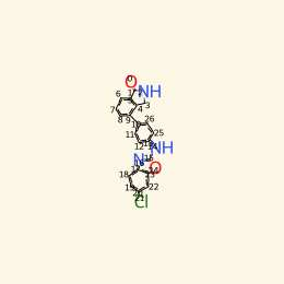 O=C1NCc2c1cccc2-c1ccc(Nc2nc3ccc(Cl)cc3o2)cc1